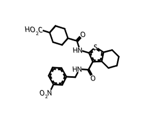 O=C(NCc1cccc([N+](=O)[O-])c1)c1c(NC(=O)C2CCC(C(=O)O)CC2)sc2c1CCCC2